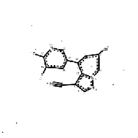 N#Cc1cnn2cc(Br)cc(-c3cnc(F)c(F)c3)c12